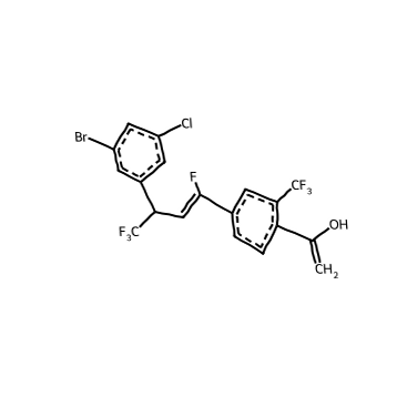 C=C(O)c1ccc(/C(F)=C/C(c2cc(Cl)cc(Br)c2)C(F)(F)F)cc1C(F)(F)F